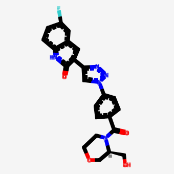 O=C(c1ccc(-n2cc(-c3cc4cc(F)ccc4[nH]c3=O)nn2)cc1)N1CCOC[C@@H]1CO